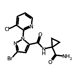 NC(=O)C1(NC(=O)c2cc(Br)nn2-c2ncccc2Cl)CC1